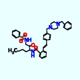 CCCCC(NC(=O)c1ccccc1C=Cc1ccc(CN2CCN(Cc3ccccc3)CC2)cc1)C(=O)CNS(=O)(=O)c1ccccc1